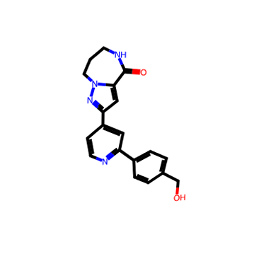 O=C1NCCCn2nc(-c3ccnc(-c4ccc(CO)cc4)c3)cc21